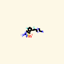 CN1C(N)=NC(C)(c2cc(C=C(F)c3cnc(C#N)cn3)ccc2F)C(C)(C)S1(O)O